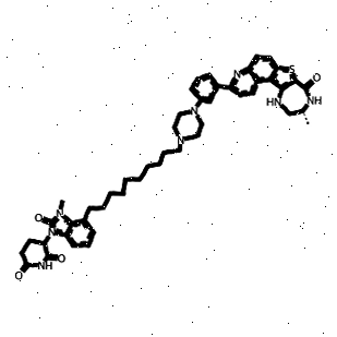 C[C@@H]1CNc2c(sc3ccc4nc(-c5cccc(N6CCN(CCCCCCCCCCc7cccc8c7n(C)c(=O)n8C7CCC(=O)NC7=O)CC6)c5)ccc4c23)C(=O)N1